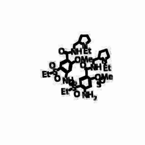 CCN1CCCC1CNC(=O)c1cc(S(=O)(=O)CC)c(N)cc1OC.CCN1CCCC1CNC(=O)c1cc(S(=O)(=O)CC)c(N)cc1OC.O=S